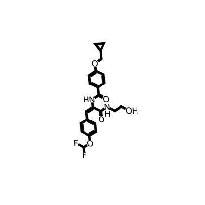 O=C(NCCO)/C(=C\c1ccc(OC(F)F)cc1)NC(=O)c1ccc(OCC2CC2)cc1